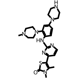 Cc1c(-c2ccnc(Nc3ccc(N4CCNCC4)cc3N3CCN(C)CC3)n2)sc(=O)n1C